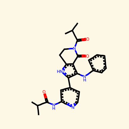 CC(C)C(=O)Nc1cc(-c2[nH]c3c(c2Nc2ccccc2)C(=O)N(C(=O)C(C)C)CC3)ccn1